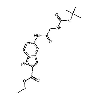 CCOC(=O)c1cc2cc(NC(=O)CNC(=O)OC(C)(C)C)ccc2[nH]1